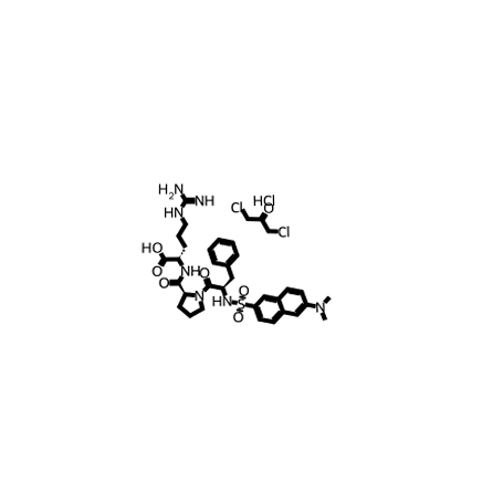 CN(C)c1ccc2cc(S(=O)(=O)N[C@H](Cc3ccccc3)C(=O)N3CCC[C@H]3C(=O)N[C@@H](CCCNC(=N)N)C(=O)O)ccc2c1.Cl.O=C(CCl)CCl